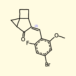 COc1cc(Br)cc(F)c1/C=C1\C(=O)C2CC23CCC13